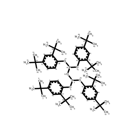 CC(C)(C)c1ccc(OP(Oc2ccc(C(C)(C)C)cc2C(C)(C)C)OP(Oc2ccc(C(C)(C)C)cc2C(C)(C)C)Oc2ccc(C(C)(C)C)cc2C(C)(C)C)c(C(C)(C)C)c1